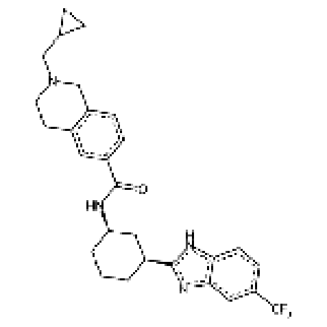 O=C(N[C@@H]1CCC[C@H](c2nc3cc(C(F)(F)F)ccc3[nH]2)C1)c1ccc2c(c1)CCN(CC1CC1)C2